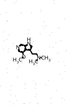 COc1cncc2[nH]cc(CCN(C)C)c12